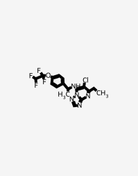 CCc1nc2ncnn2c(NC(C)c2ccc(OC(F)(F)C(F)F)cc2)c1Cl